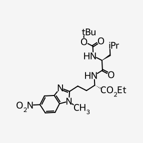 CCOC(=O)[C@H](CCc1nc2cc([N+](=O)[O-])ccc2n1C)NC(=O)[C@H](CC(C)C)NC(=O)OC(C)(C)C